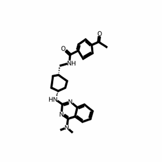 CC(=O)c1ccc(C(=O)NC[C@H]2CC[C@@H](Nc3nc(N(C)C)c4ccccc4n3)CC2)cc1